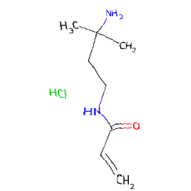 C=CC(=O)NCCC(C)(C)N.Cl